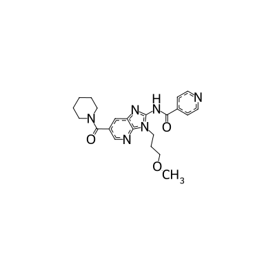 COCCCn1c(NC(=O)c2ccncc2)nc2cc(C(=O)N3CCCCC3)cnc21